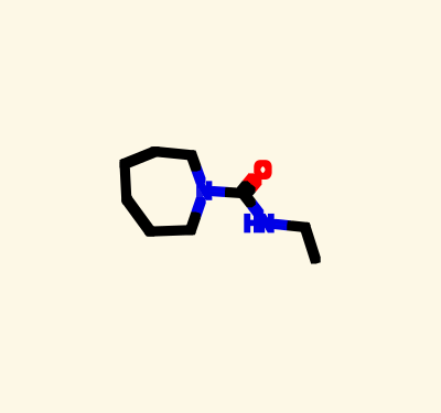 CCNC(=O)N1CCCCCC1